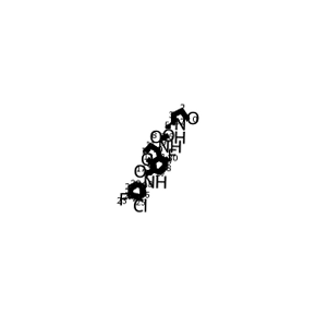 O=C1CC[C@H](COC(=O)N[C@H]2CCOc3c(C(=O)Nc4ccc(F)c(Cl)c4)ccc(F)c32)N1